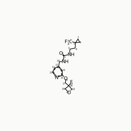 O=C(NCCC1(C(F)(F)F)CC1)NCc1ccnc(OCC2(F)COC2)c1